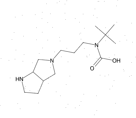 CC(C)(C)N(CCCN1CC2CCNC2C1)C(=O)O